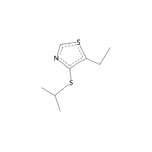 CCc1scnc1SC(C)C